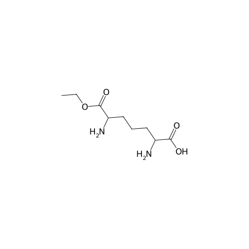 CCOC(=O)C(N)CCCC(N)C(=O)O